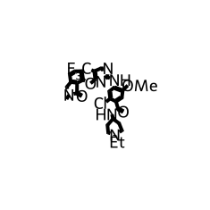 CCN1CCC(NC(=O)c2cc(OC)c(Nc3ncc(C(F)(F)F)c(Oc4cccc5c4C(=O)N(C)C5)n3)cc2Cl)CC1